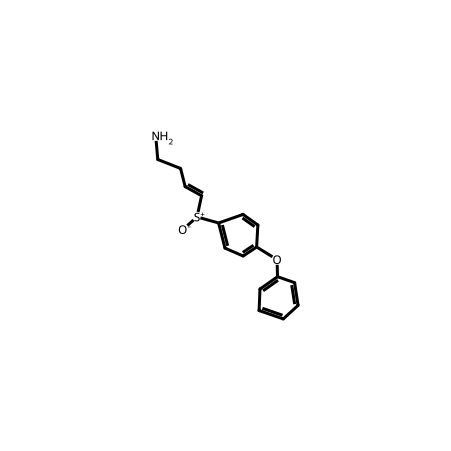 NCC/C=C/[S+]([O-])c1ccc(Oc2ccccc2)cc1